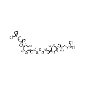 O=C(CCC(Cl)Cl)Oc1ccc(OCCCCCOc2ccc(OC(=O)CCC(Cl)Cl)cc2)cc1